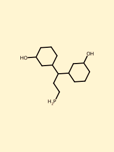 OC1CCCC(C(CCP)C2CCCC(O)C2)C1